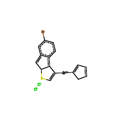 Brc1ccc2c(c1)=CC1SC=[C]([Zr+2][C]3=CC=CC3)C=21.[Cl-].[Cl-]